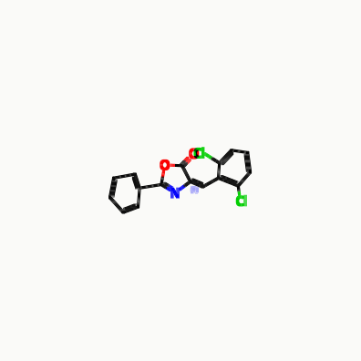 O=C1OC(c2ccccc2)=N/C1=C/c1c(Cl)cccc1Cl